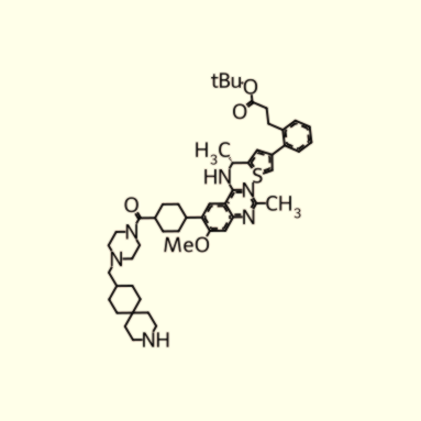 COc1cc2nc(C)nc(N[C@H](C)c3cc(-c4ccccc4CCC(=O)OC(C)(C)C)cs3)c2cc1C1CCC(C(=O)N2CCN(CC3CCC4(CCNCC4)CC3)CC2)CC1